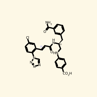 NC(=O)c1cccc(C[C@@H](CNc2ccc(C(=O)O)cc2)NC(=O)/C=C/c2cc(Cl)ccc2-n2cnnn2)c1